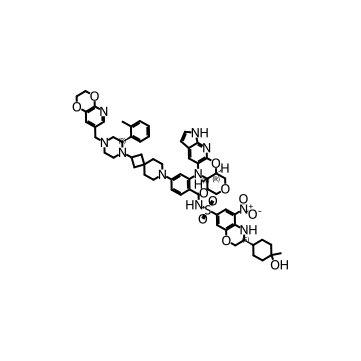 Cc1ccccc1[C@@H]1CN(Cc2cnc3c(c2)OCCO3)CCN1C1CC2(CCN(c3ccc(C(=O)NS(=O)(=O)c4cc5c(c([N+](=O)[O-])c4)N[C@@H](C4CCC(C)(O)CC4)CO5)c(N4c5cc6cc[nH]c6nc5O[C@H]5COCC[C@@H]54)c3)CC2)C1